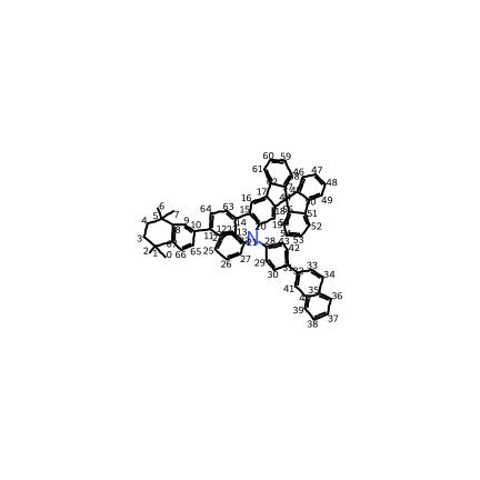 CC1(C)CCC(C)(C)c2cc(-c3ccc(-c4cc5c(cc4N(c4ccccc4)c4ccc(-c6ccc7ccccc7c6)cc4)C4(c6ccccc6-c6ccccc64)c4ccccc4-5)cc3)ccc21